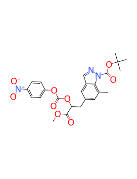 COC(=O)C(Cc1cc(C)c2c(cnn2C(=O)OC(C)(C)C)c1)OC(=O)Oc1ccc([N+](=O)[O-])cc1